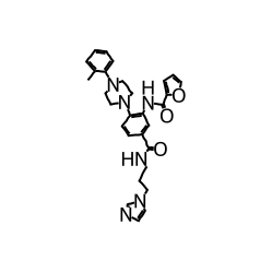 Cc1ccccc1N1CCN(c2ccc(C(=O)NCCCn3ccnc3)cc2NC(=O)c2ccco2)CC1